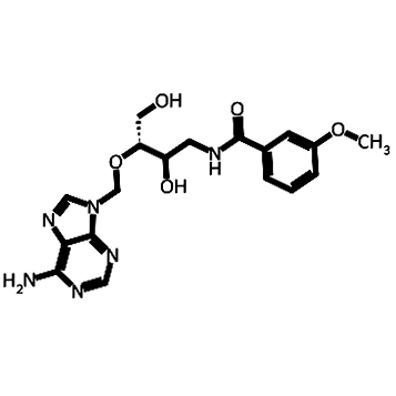 COc1cccc(C(=O)NCC(O)[C@@H](CO)OCn2cnc3c(N)ncnc32)c1